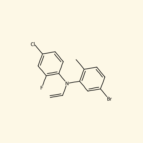 C=CN(c1cc(Br)ccc1C)c1ccc(Cl)cc1F